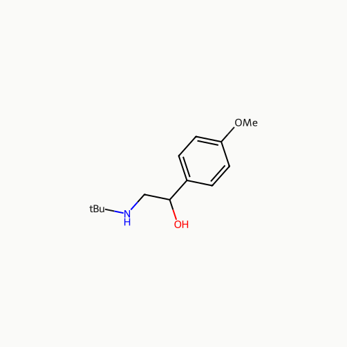 COc1ccc(C(O)CNC(C)(C)C)cc1